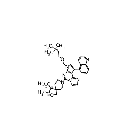 C[C@@H]1OCC2(CCN(c3nc4c(c(-c5cccc6ncccc56)cn4COCC[Si](C)(C)C)c4nccn34)CC2)[C@@H]1C(=O)O